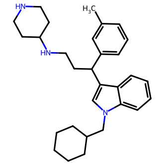 Cc1cccc(C(CCNC2CCNCC2)c2cn(CC3CCCCC3)c3ccccc23)c1